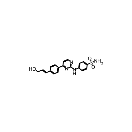 NS(=O)(=O)c1ccc(Nc2nccc(-c3ccc(/C=C/CO)cc3)n2)cc1